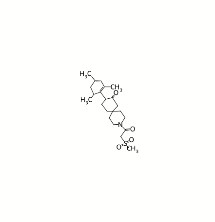 CC1=CC(C)=C(C2CCC3(CCN(C(=O)CS(C)(=O)=O)CC3)CC2=O)C(C)C1